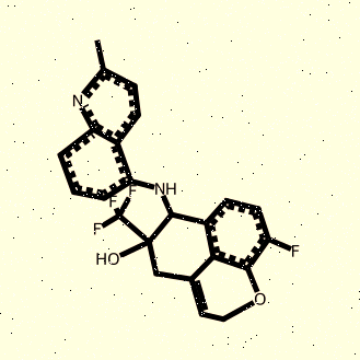 Cc1ccc2c(NC3c4ccc(F)c5c4C(=CCO5)CC3(O)C(F)(F)F)cccc2n1